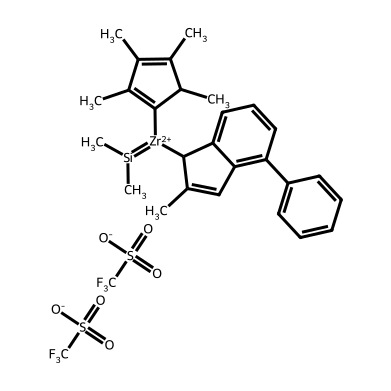 CC1=Cc2c(-c3ccccc3)cccc2[CH]1[Zr+2]([C]1=C(C)C(C)=C(C)C1C)=[Si](C)C.O=S(=O)([O-])C(F)(F)F.O=S(=O)([O-])C(F)(F)F